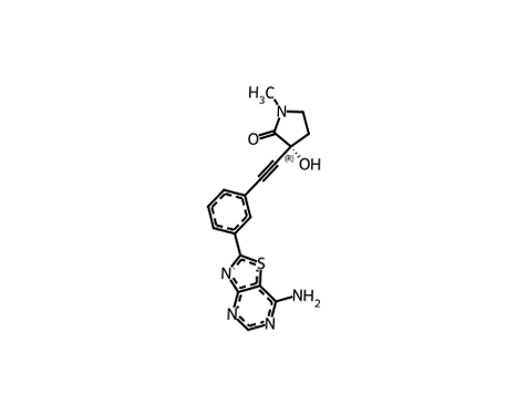 CN1CC[C@@](O)(C#Cc2cccc(-c3nc4ncnc(N)c4s3)c2)C1=O